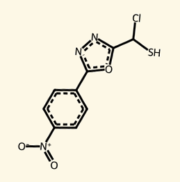 O=[N+]([O-])c1ccc(-c2nnc(C(S)Cl)o2)cc1